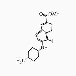 COC(=O)c1ccc2c(I)c(N[C@H]3CC[C@@H](C)CC3)ccc2c1